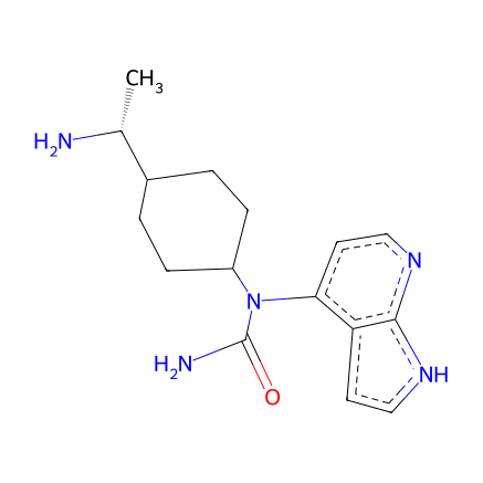 C[C@@H](N)C1CCC(N(C(N)=O)c2ccnc3[nH]ccc23)CC1